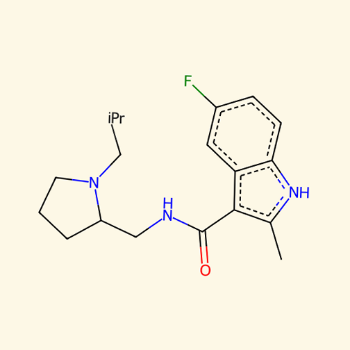 Cc1[nH]c2ccc(F)cc2c1C(=O)NCC1CCCN1CC(C)C